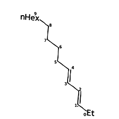 CC/[C]=C/C=CCCCCCCCCCC